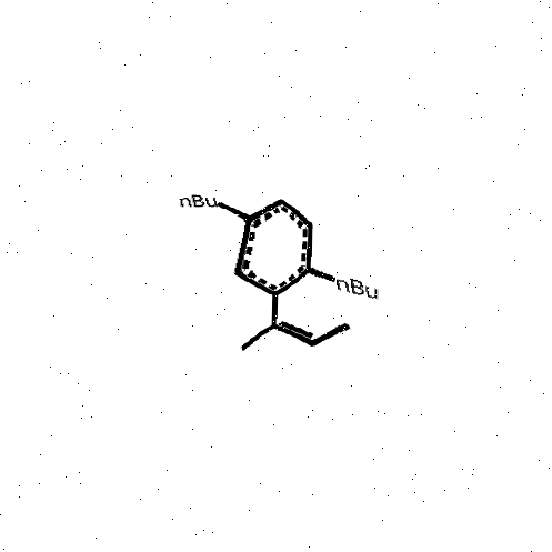 C/C=C(/C)c1cc(CCCC)ccc1CCCC